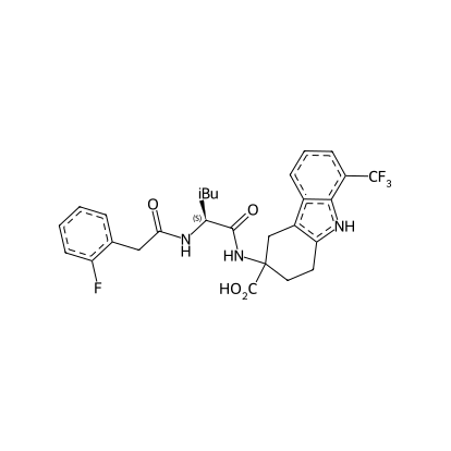 CCC(C)[C@H](NC(=O)Cc1ccccc1F)C(=O)NC1(C(=O)O)CCc2[nH]c3c(C(F)(F)F)cccc3c2C1